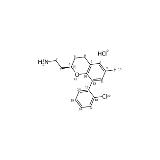 Cl.NCC[C@H]1CCc2cc(F)cc(-c3ccccc3Cl)c2O1